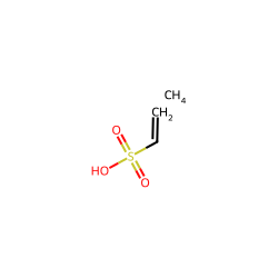 C.C=CS(=O)(=O)O